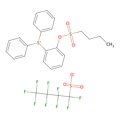 CCCCS(=O)(=O)Oc1ccccc1[S+](c1ccccc1)c1ccccc1.O=S(=O)([O-])C(F)(F)C(F)(F)C(F)(F)C(F)(F)F